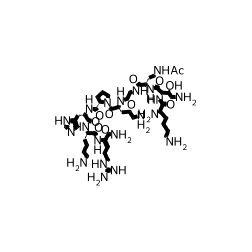 CC(=O)NCC[C@H](NC(=O)[C@@H](NC(=O)[C@@H](N)CCCCN)[C@@H](O)CN)C(=O)NCC(=O)N[C@H](CCCN)C(=O)N1CCC[C@H]1C(=O)N[C@@H](Cc1cnc[nH]1)C(=O)N[C@@H](CCCCN)C(=O)N/C(=C\CCNC(=N)N)C(N)=O